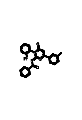 Cc1cccc(-c2cc(=O)n(-c3ccccc3C(C)C)c(=NC(=O)c3ccccc3)s2)c1